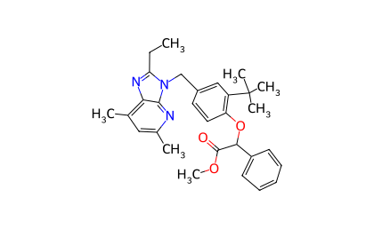 CCc1nc2c(C)cc(C)nc2n1Cc1ccc(OC(C(=O)OC)c2ccccc2)c(C(C)(C)C)c1